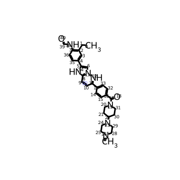 CCc1cc(-c2cnc(/C=C\C(=N)c3ccc(C(=O)N4CCC(N5CCN(C)CC5)CC4)cc3)[nH]2)ccc1NC=O